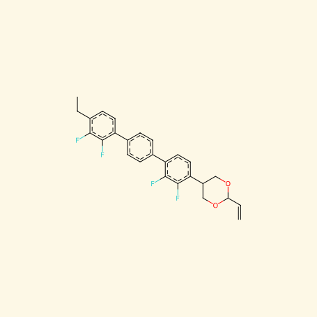 C=CC1OCC(c2ccc(-c3ccc(-c4ccc(CC)c(F)c4F)cc3)c(F)c2F)CO1